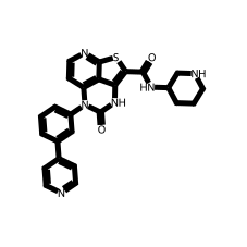 O=C(NC1CCCNC1)c1sc2nccc3c2c1NC(=O)N3c1cccc(-c2ccncc2)c1